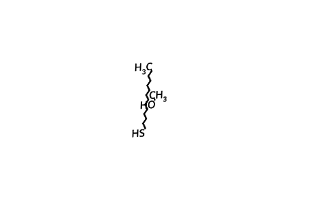 CCCCCCCCCCCCCCS.CCO